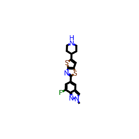 Cn1cc2cc(-c3nc4sc(C5CCNCC5)cc4s3)cc(F)c2n1